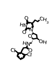 CCCc1cn([C@@H]2CC(O)[C@H](CNC(=O)Cc3c(Cl)cccc3Cl)O2)c(=O)[nH]c1=O